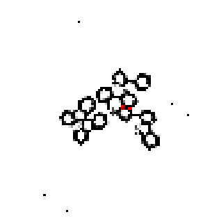 c1ccc(-c2ccccc2-c2ccccc2-c2ccccc2N(c2ccc(-c3cccc4c3sc3ccccc34)cc2)c2ccc3c(c2)C2(c4ccccc4-c4ccccc42)c2ccccc2-3)cc1